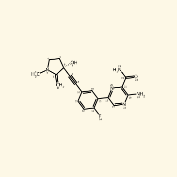 C=C1N(C)CC[C@@]1(O)C#Cc1ccc(F)c(-c2cnc(N)c(C(N)=O)n2)c1